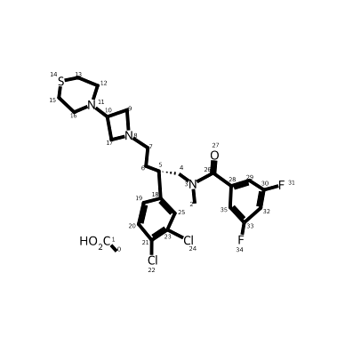 CC(=O)O.CN(C[C@@H](CCN1CC(N2CCSCC2)C1)c1ccc(Cl)c(Cl)c1)C(=O)c1cc(F)cc(F)c1